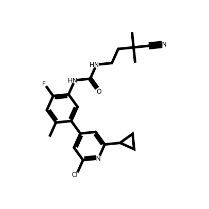 Cc1cc(F)c(NC(=O)NCCC(C)(C)C#N)cc1-c1cc(Cl)nc(C2CC2)c1